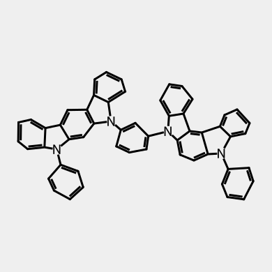 c1ccc(-n2c3ccccc3c3cc4c5ccccc5n(-c5cccc(-n6c7ccccc7c7c8c9ccccc9n(-c9ccccc9)c8ccc76)c5)c4cc32)cc1